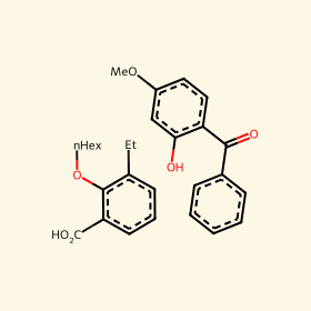 CCCCCCOc1c(CC)cccc1C(=O)O.COc1ccc(C(=O)c2ccccc2)c(O)c1